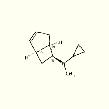 CN(C1CC1)[C@H]1C[C@H]2C=CC[C@H]21